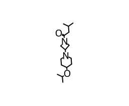 CC(C)CC(=O)N1CC(N2CCC(OC(C)C)CC2)C1